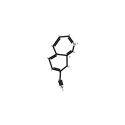 N#CC1=CC=C2C=CC=NC=C2C1